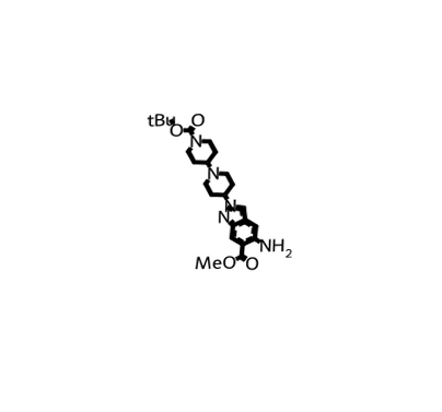 COC(=O)c1cc2nn(C3CCN(C4CCN(C(=O)OC(C)(C)C)CC4)CC3)cc2cc1N